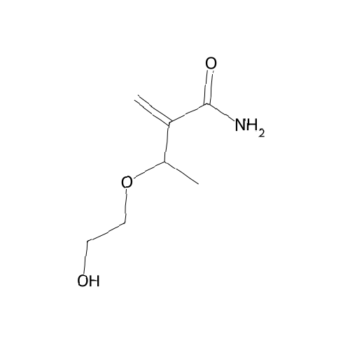 C=C(C(N)=O)C(C)OCCO